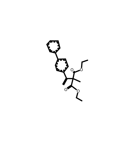 C=C(c1ccc(-c2ccccc2)cc1)C(C)(C(=O)OCC)C(=O)OCC